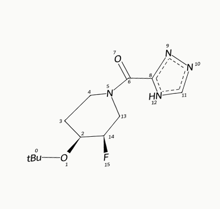 CC(C)(C)O[C@H]1CCN(C(=O)c2nnc[nH]2)C[C@H]1F